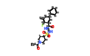 CCC(=O)N1CCC(S(=O)(=O)NNC(=O)c2cc(-c3ccccc3)cc(C)c2F)CC1